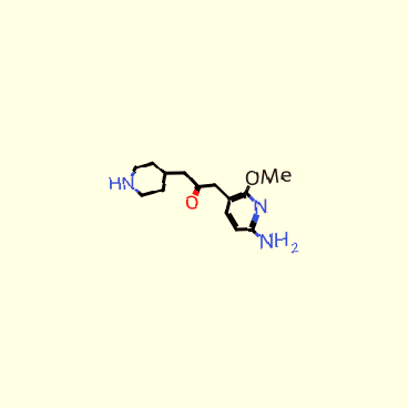 COc1nc(N)ccc1CC(=O)CC1CCNCC1